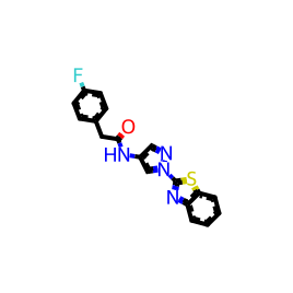 O=C(Cc1ccc(F)cc1)Nc1cnn(-c2nc3ccccc3s2)c1